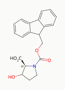 O=C(O)[C@@H]1C(O)CCN1C(=O)OCC1c2ccccc2-c2ccccc21